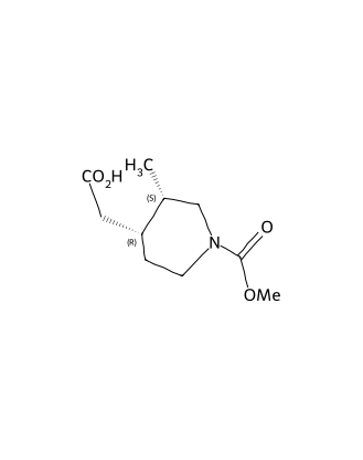 COC(=O)N1CC[C@H](CC(=O)O)[C@H](C)C1